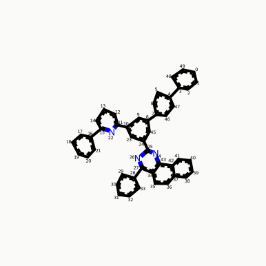 c1ccc(-c2ccc(-c3cc(-c4cccc(-c5ccccc5)n4)cc(-c4nc(-c5ccccc5)c5ccc6ccccc6c5n4)c3)cc2)cc1